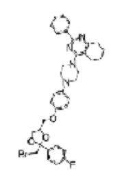 Fc1ccc([C@]2(CBr)OC[C@@H](COc3ccc(N4CCN(c5nc(-c6ccccc6)nc6c5CCCC6)CC4)cc3)O2)cc1